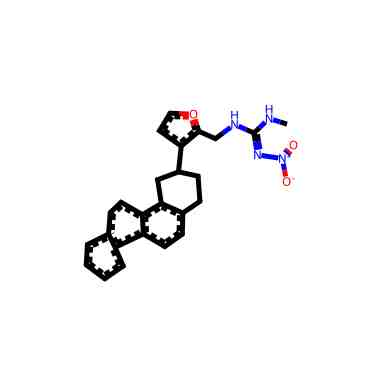 CNC(=N[N+](=O)[O-])NCc1occc1C1CCc2ccc3c(ccc4ccccc43)c2C1